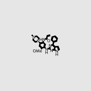 C=CC(=O)Nc1cc(Nc2nc(-c3ccccc3)c3cc[nH]c3n2)c(OC)cc1N1CCN(C)CC1